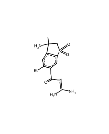 CCc1cc2c(cc1C(=O)N=C(N)N)S(=O)(=O)CC2(C)N